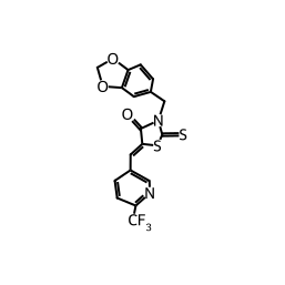 O=C1/C(=C/c2ccc(C(F)(F)F)nc2)SC(=S)N1Cc1ccc2c(c1)OCO2